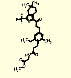 CCc1cc(CCC(=O)c2sc(C(F)(F)F)c3c2CCC(C)(C)C3)cc(C)c1CCC(=O)NCC(=O)OC